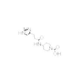 O=C(CCc1c[nH]nn1)NC1CCN(C(=O)O)CC1